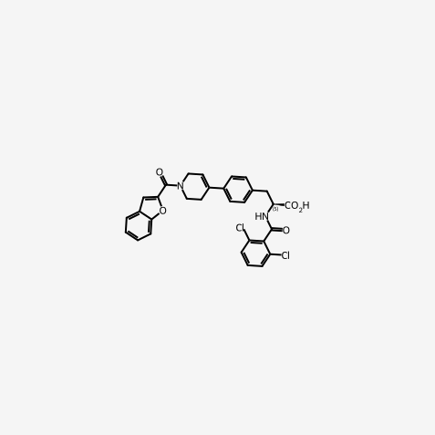 O=C(N[C@@H](Cc1ccc(C2=CCN(C(=O)c3cc4ccccc4o3)CC2)cc1)C(=O)O)c1c(Cl)cccc1Cl